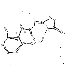 CN1C(=O)CSC1=CC(=O)Nc1c(Cl)cccc1Cl